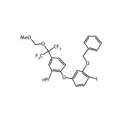 CCCc1cc(C(OCOC)(C(F)(F)F)C(F)(F)F)ccc1Oc1ccc(I)c(OCc2ccccc2)c1